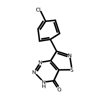 O=c1[nH]nnc2c(-c3ccc(Cl)cc3)nsc12